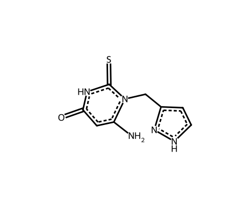 Nc1cc(=O)[nH]c(=S)n1Cc1cc[nH]n1